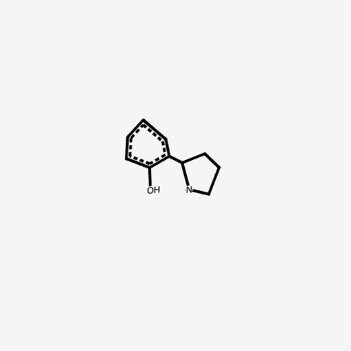 Oc1ccccc1C1CCC[N]1